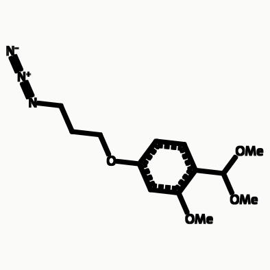 COc1cc(OCCCN=[N+]=[N-])ccc1C(OC)OC